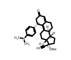 C#C[C@]1(OC)CC[C@H]2[C@@H]3CCC4=CC(=O)C[C@@H](c5ccc(N(C)C)cc5)C4=C3CCC21C